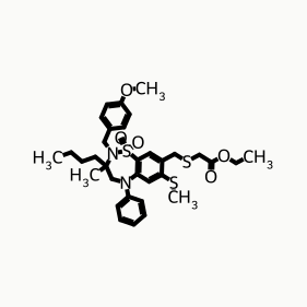 CCCCC1(C)CN(c2ccccc2)c2cc(SC)c(CSCC(=O)OCC)cc2S(=O)(=O)N1Cc1ccc(OC)cc1